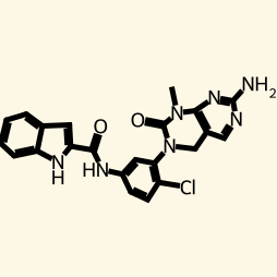 CN1C(=O)N(c2cc(NC(=O)c3cc4ccccc4[nH]3)ccc2Cl)Cc2cnc(N)nc21